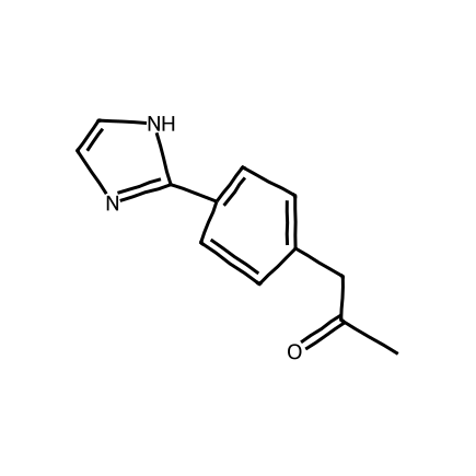 CC(=O)Cc1ccc(-c2ncc[nH]2)cc1